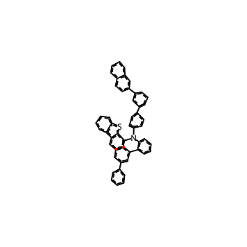 c1ccc(-c2cccc(-c3ccccc3N(c3ccc(-c4cccc(-c5ccc6ccccc6c5)c4)cc3)c3cccc4c3sc3ccccc34)c2)cc1